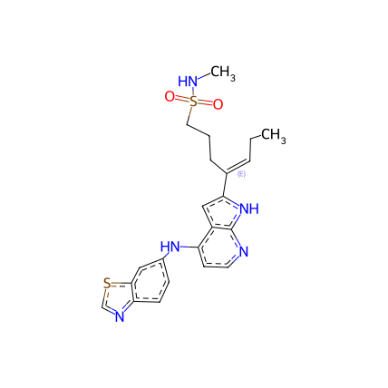 CC/C=C(\CCCS(=O)(=O)NC)c1cc2c(Nc3ccc4ncsc4c3)ccnc2[nH]1